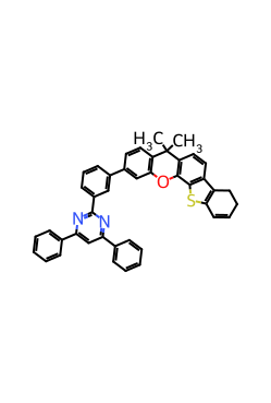 CC1(C)c2ccc(-c3cccc(-c4nc(-c5ccccc5)cc(-c5ccccc5)n4)c3)cc2Oc2c1ccc1c3c(sc21)C=CCC3